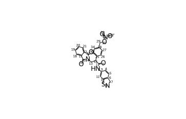 O=C(Nc1ccc2cnsc2c1)C(CN1C(=O)c2ccccc2C1=O)c1ccc(CO[N+](=O)[O-])cc1